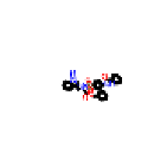 O=C(Nc1ccc(S(=O)(=O)N[C@@H](Cc2c[nH]c3ccccc23)C(=O)OCc2ccccc2)cc1)c1ccccc1